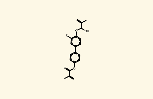 C=C(C)C(=O)Oc1ccc(-c2ccc(OC(O)C(=C)C)c(F)c2)cc1